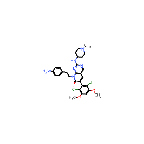 COc1cc(OC)c(Cl)c(-c2cc3cnc(NC4CCN(C)CC4)nc3n(CCc3ccc(N)cc3)c2=O)c1Cl